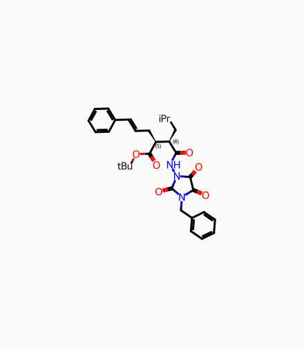 CC(C)C[C@@H](C(=O)NN1C(=O)C(=O)N(Cc2ccccc2)C1=O)[C@H](CC=Cc1ccccc1)C(=O)OC(C)(C)C